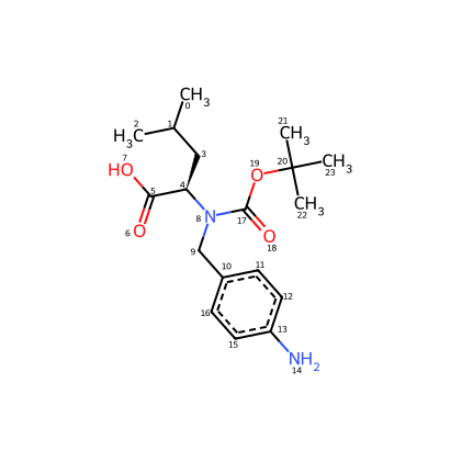 CC(C)C[C@H](C(=O)O)N(Cc1ccc(N)cc1)C(=O)OC(C)(C)C